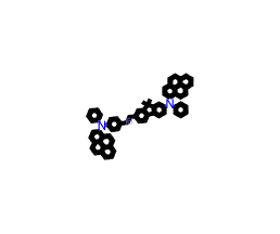 CC1(C)c2cc(/C=C/c3ccc(N(c4ccccc4)c4ccc5ccc6cccc7ccc4c5c67)cc3)ccc2-c2ccc(N(c3ccccc3)c3ccc4ccc5cccc6ccc3c4c56)cc21